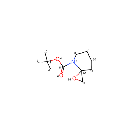 CC(C)(C)OC(=O)N1CCCCC12CO2